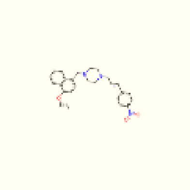 COc1ccc(CN2CCN(C/C=C/c3ccc([N+](=O)[O-])cc3)CC2)c2ccccc12